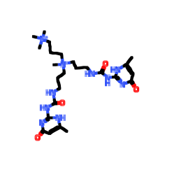 Cc1cc(=O)nc(NC(=O)NCCC[N+](C)(CCCNC(=O)Nc2nc(=O)cc(C)[nH]2)CCC[N+](C)(C)C)[nH]1